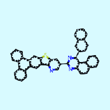 c1ccc2cc(-c3nc(-c4cnc5c(c4)sc4cc6c7ccccc7c7ccccc7c6cc45)nc4ccc5ccccc5c34)ccc2c1